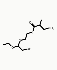 CCOC(CO)OCCSC(=O)C(C)CN